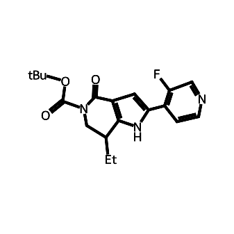 CCC1CN(C(=O)OC(C)(C)C)C(=O)c2cc(-c3ccncc3F)[nH]c21